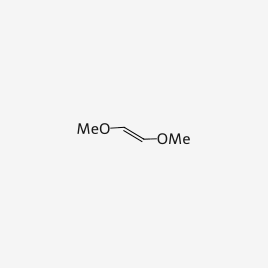 CO/C=C/OC